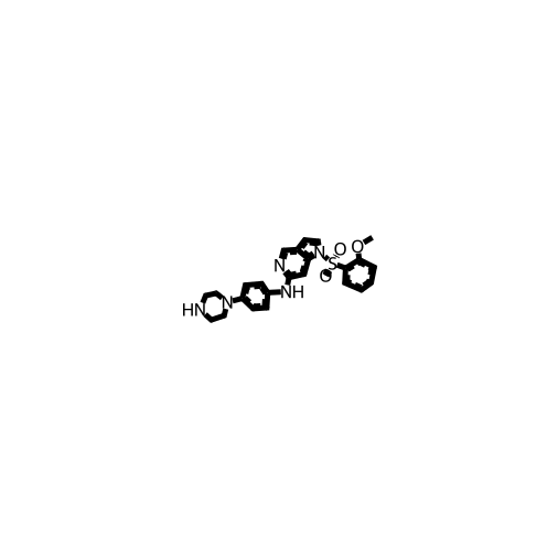 COc1ccccc1S(=O)(=O)n1ccc2cnc(Nc3ccc(N4CCNCC4)cc3)cc21